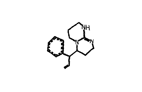 C=CC(c1ccccc1)C1CCN=C2NCCCN21